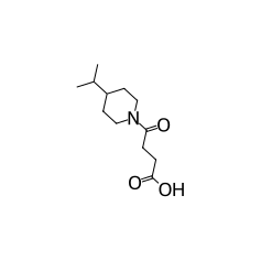 CC(C)C1CCN(C(=O)CCC(=O)O)CC1